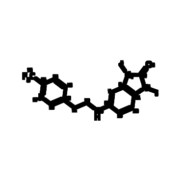 Cn1c(=O)n(C)c2cc(NCCc3ccc(C(F)(F)F)nc3)ccc21